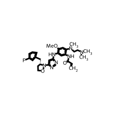 C=CC(=O)Nc1cc(Nc2cc(N3OCC[C@@H]3Cc3cccc(F)c3)ncn2)c(OC)cc1N(C)CCN(C)C